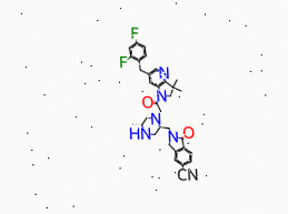 C[C@@H]1CN(CC(=O)N2CC(C)(C)c3ncc(Cc4ccc(F)cc4F)cc32)[C@@H](CN2Cc3cc(C#N)ccc3C2=O)CN1